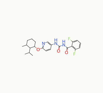 CC(C)C1C(C)CCCC1Oc1ccc(NC(=O)NC(=O)c2c(F)cccc2F)cn1